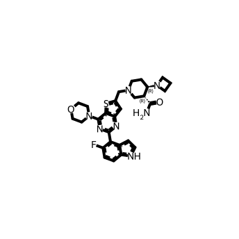 NC(=O)[C@@H]1CN(Cc2cc3nc(-c4c(F)ccc5[nH]ccc45)nc(N4CCOCC4)c3s2)CC[C@H]1N1CCC1